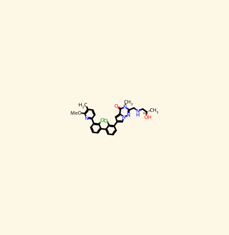 [CH2]c1ccc(-c2cccc(-c3cccc(-c4cc5c(=O)n(C)c(CNC[C@H](C)O)nn5c4)c3Cl)c2Cl)nc1OC